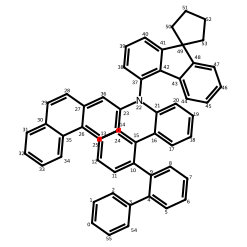 c1ccc(-c2ccccc2-c2ccccc2-c2ccccc2N(c2ccc3c(ccc4ccccc43)c2)c2cccc3c2-c2ccccc2C32CCCC2)cc1